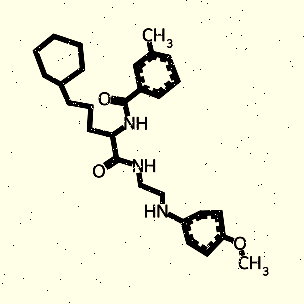 COc1ccc(NCCNC(=O)C(CCCC2CCCCC2)NC(=O)c2cccc(C)c2)cc1